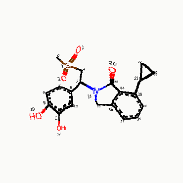 CS(=O)(=O)CC(c1ccc(O)c(O)c1)N1Cc2cccc(C3CC3)c2C1=O